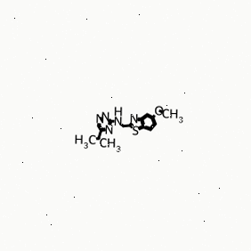 COc1ccc2sc(CNc3nncc(C(C)C)n3)nc2c1